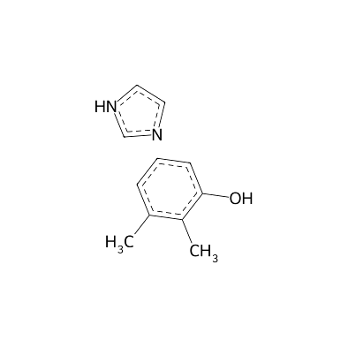 Cc1cccc(O)c1C.c1c[nH]cn1